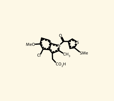 COc1ccc2c(c1Cl)c(CC(=O)O)c(C)n2C(=O)c1csc(SC)c1